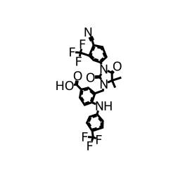 CC1(C)C(=O)N(c2ccc(C#N)c(C(F)(F)F)c2)C(=O)N1Cc1cc(C(=O)O)ccc1Nc1ccc(C(F)(F)F)cc1